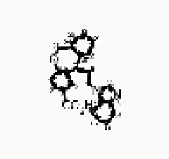 O=C(O)c1ccc2c(c1)C(=CCn1cnc3ccccc31)c1ccccc1CO2